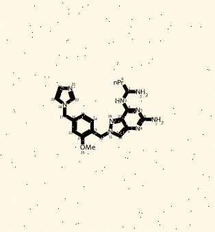 CCCC(N)Nc1nc(N)nc2cn(Cc3ccc(Cn4ccnc4)cc3OC)nc12